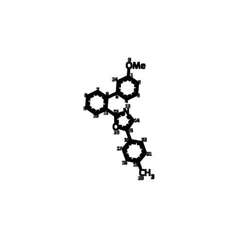 COc1cccc(-c2ccccc2-c2ncc(-c3ccc(C)cc3)o2)c1